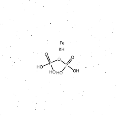 O=P(O)(O)OP(=O)(O)O.[Fe].[KH]